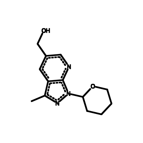 Cc1nn(C2CCCCO2)c2ncc(CO)cc12